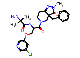 CN1N=C2CCN(C(=O)C(COc3cncc(Cl)c3)NC(=O)C(C)(C)N)CC2(Cc2ccccc2)C1=O